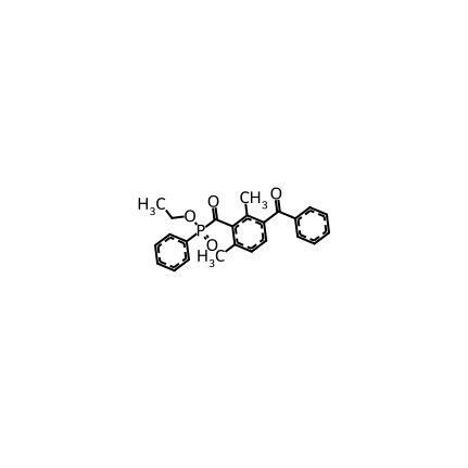 CCOP(=O)(C(=O)c1c(C)ccc(C(=O)c2ccccc2)c1C)c1ccccc1